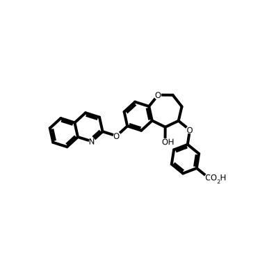 O=C(O)c1cccc(OC2CCOc3ccc(Oc4ccc5ccccc5n4)cc3C2O)c1